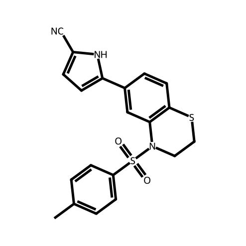 Cc1ccc(S(=O)(=O)N2CCSc3ccc(-c4ccc(C#N)[nH]4)cc32)cc1